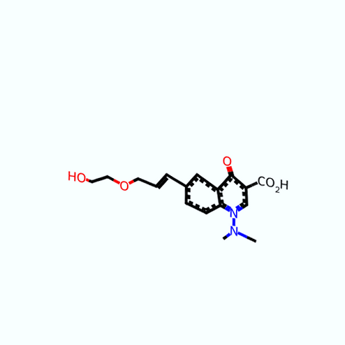 CN(C)n1cc(C(=O)O)c(=O)c2cc(/C=C/COCCO)ccc21